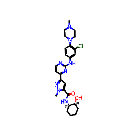 CN1CCN(c2ccc(Nc3nccc(-c4cc(C(=O)N[C@H]5CCCC[C@H]5O)n(C)n4)n3)cc2Cl)CC1